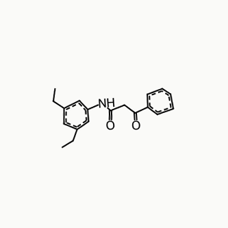 CCc1cc(CC)cc(NC(=O)CC(=O)c2ccccc2)c1